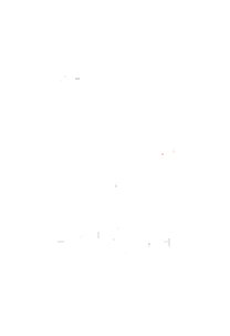 CCCCC12C(C)CCC(C1O)C2(C)C